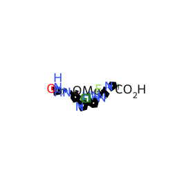 COc1cc(-c2nccc(-c3cccc(Nc4nccc(CN5CC[C@@H](C(=O)O)C5)c4F)c3Cl)c2Cl)ccc1CNC[C@@H]1CCC(=O)N1